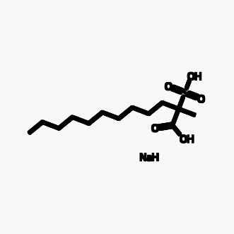 CCCCCCCCCCC(C)(C(=O)O)S(=O)(=O)O.[NaH]